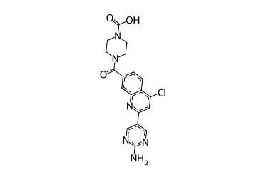 Nc1ncc(-c2cc(Cl)c3ccc(C(=O)N4CCN(C(=O)O)CC4)cc3n2)cn1